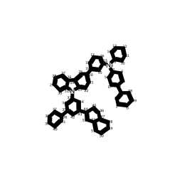 c1ccc(-c2ccc(N(c3ccccc3)c3cccc(-c4ccc5c(c4)c4ccccc4n5-c4cc(-c5ccccc5)cc(-c5ccc6ccccc6c5)c4)c3)cc2)cc1